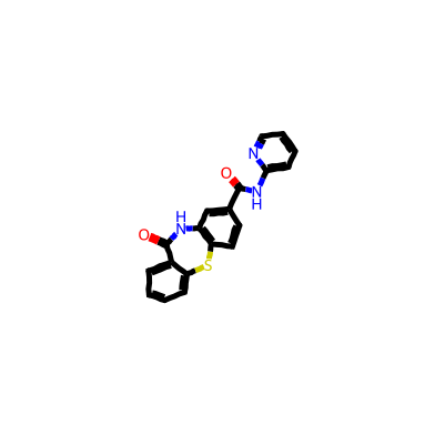 O=C(Nc1ccccn1)c1ccc2c(c1)NC(=O)c1ccccc1S2